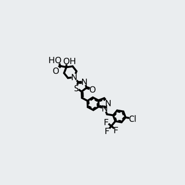 O=C1N=C(N2CCC(O)(C(=O)O)CC2)SC1=Cc1ccc2c(cnn2Cc2ccc(Cl)cc2C(F)(F)F)c1